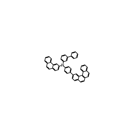 c1ccc(-c2cccc(N(c3ccc(-c4ccc5ccc6ccc7ccccc7c6c5c4)cc3)c3ccc4ccc5ccccc5c4c3)c2)cc1